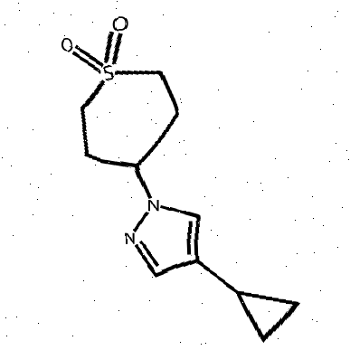 O=S1(=O)CCC(n2cc(C3CC3)cn2)CC1